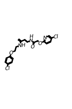 C=C(CCNC(=O)COc1ccc(Cl)cn1)NCCOc1ccc(Cl)cc1